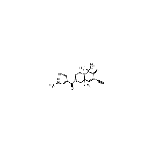 CN/C=C(\C=N)C(=O)N1CCC2C(C)(C=C(C#N)C(=O)C2(C)C)C1